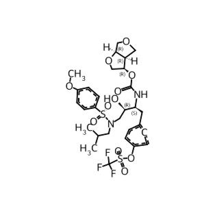 COc1ccc(S(=O)(=O)N(CC(C)C)C[C@@H](O)[C@H](Cc2ccc(OS(=O)(=O)C(F)(F)F)cc2)NC(=O)O[C@H]2CO[C@H]3COC[C@H]32)cc1